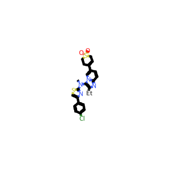 CCc1nc2ccc(C3=CCS(=O)(=O)CC3)cn2c1N(C)c1nc(-c2ccc(Cl)cc2)cs1